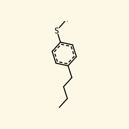 [CH2]Sc1ccc(CCCC)cc1